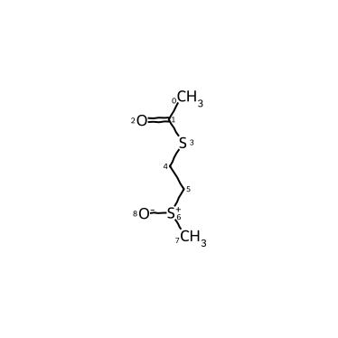 CC(=O)SCC[S+](C)[O-]